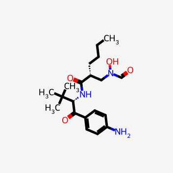 CCCC[C@H](CN(O)C=O)C(=O)N[C@H](C(=O)c1ccc(N)cc1)C(C)(C)C